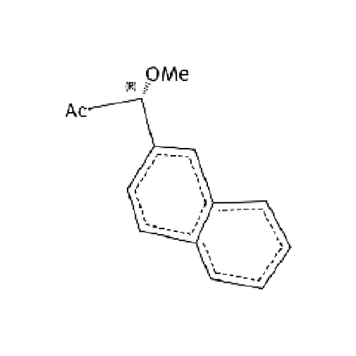 CO[C@@H](C(C)=O)c1ccc2ccccc2c1